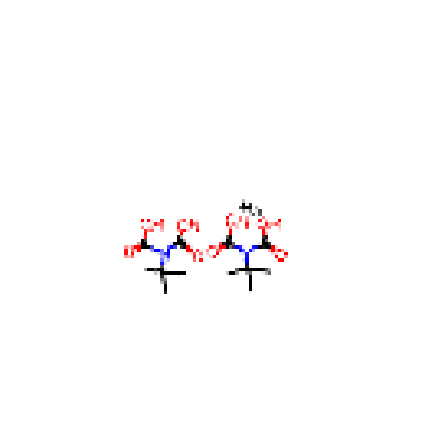 CC(C)(C)N(C(=O)O)C(=O)O.CC(C)(C)N(C(=O)O)C(=O)O.[Na]